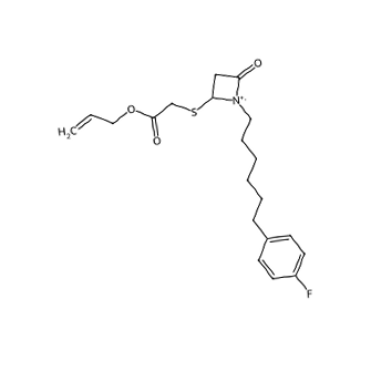 C=CCOC(=O)CSC1CC(=O)[N+]1CCCCCCc1ccc(F)cc1